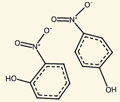 O=[N+]([O-])c1ccc(O)cc1.O=[N+]([O-])c1ccccc1O